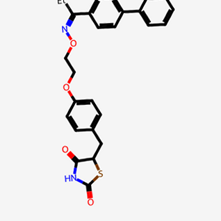 CCC(=NOCCOc1ccc(CC2SC(=O)NC2=O)cc1)c1ccc(-c2ccccc2)cc1